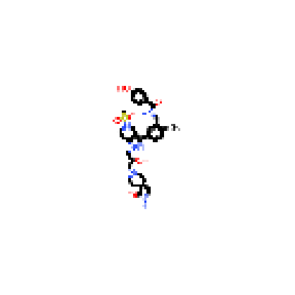 CS(=O)(=O)N1CCc2c(c(-c3ccc(C(F)(F)F)c(CNC(=O)c4ccc(O)cc4)c3)nn2CC(O)CN2CCC3(CCNC3=O)CC2)C1